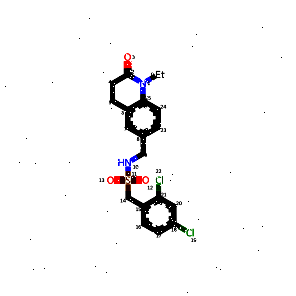 CCN1C(=O)CCc2cc(CNS(=O)(=O)Cc3ccc(Cl)cc3Cl)ccc21